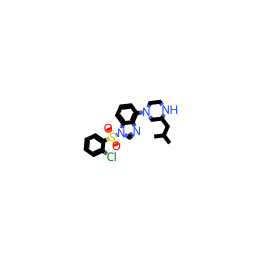 CC(C)CC1CN(c2cccc3c2ncn3S(=O)(=O)c2ccccc2Cl)CCN1